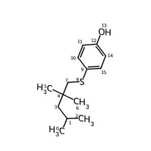 CC(C)CC(C)(C)CSc1ccc(O)cc1